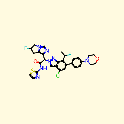 CC(F)c1c(-c2ccc(N3CCOCC3)cc2)cc(Cl)c2cn(C(C(=O)Nc3nccs3)c3ncn4c3C[C@@H](F)C4)nc12